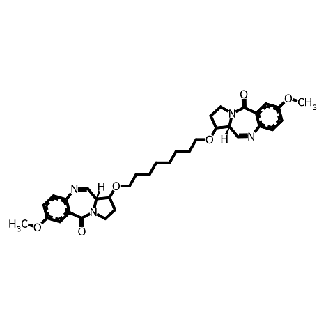 COc1ccc2c(c1)C(=O)N1CCC(OCCCCCCCCOC3CCN4C(=O)c5cc(OC)ccc5N=C[C@H]34)[C@H]1C=N2